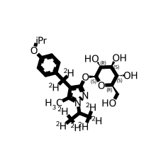 [2H]C([2H])(c1ccc(OC(C)C)cc1)c1c(O[C@@H]2O[C@H](CO)[C@@H](O)[C@H](O)[C@H]2O)nn(C(C([2H])([2H])[2H])C([2H])([2H])[2H])c1C